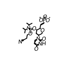 COP(=O)(/C=C/C1OCC(n2ccc(=O)[nH]c2=O)CC1OP(OCCC#N)N(C(C)C)C(C)C)OC